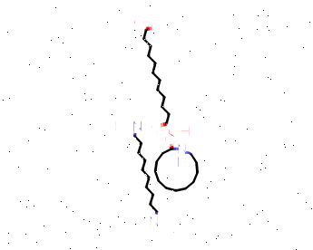 NCCCCCCCCCCN.O=C(O)CCCCCCCCCCC(=O)O.O=C1CCCCCCCCCCCN1